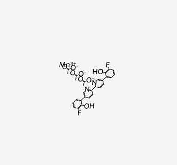 CC(=O)[O-].CC(=O)[O-].CC(=O)[O-].Oc1c(F)cccc1-c1ccc(-c2ccc(-c3cccc(F)c3O)cn2)nc1.[Mn+3]